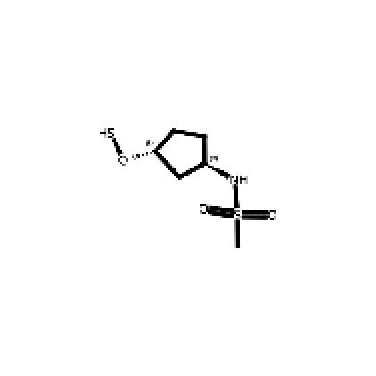 CS(=O)(=O)N[C@@H]1CC[C@@H](OS)C1